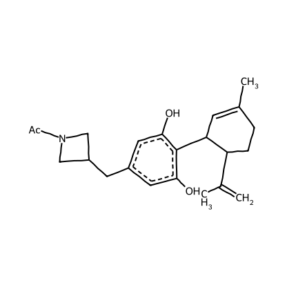 C=C(C)C1CCC(C)=CC1c1c(O)cc(CC2CN(C(C)=O)C2)cc1O